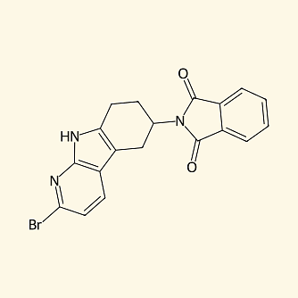 O=C1c2ccccc2C(=O)N1C1CCc2[nH]c3nc(Br)ccc3c2C1